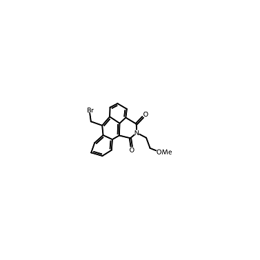 COCCN1C(=O)c2cccc3c(CBr)c4ccccc4c(c23)C1=O